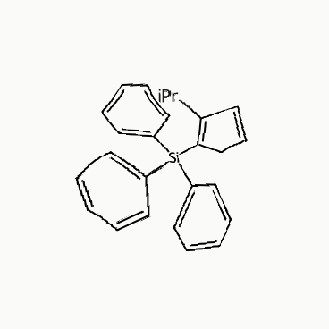 CC(C)C1=C([Si](c2ccccc2)(c2ccccc2)c2ccccc2)CC=C1